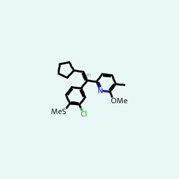 COc1nc(/C(=C/C2CCCC2)c2ccc(SC)c(Cl)c2)ccc1C